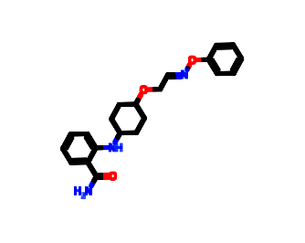 NC(=O)c1ccccc1NC1CCC(OCC=NOc2ccccc2)CC1